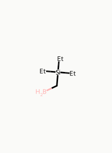 BC[Si](CC)(CC)CC